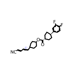 N#CC=C/C=C/C1CCC(OC(=O)[C@H]2CC[C@H](c3ccc(F)c(F)c3)CC2)CC1